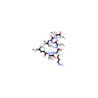 CC(=O)[C@H](C)NC(=O)[C@H](CC(C)C)NC(=O)[C@H](C)NC(=O)[C@H](CCCCN)NC(=O)[C@H](C)NC(=O)CCC(C)C